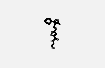 Cc1onc(-c2ccccc2)c1COc1cc(C(=O)NCCO)on1